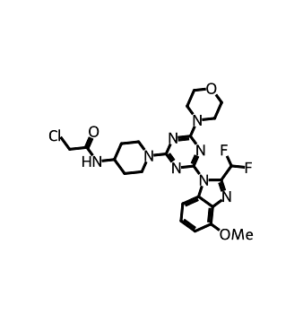 COc1cccc2c1nc(C(F)F)n2-c1nc(N2CCOCC2)nc(N2CCC(NC(=O)CCl)CC2)n1